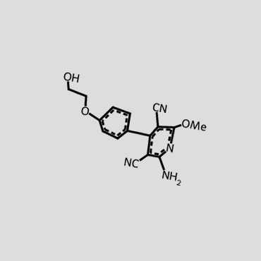 COc1nc(N)c(C#N)c(-c2ccc(OCCO)cc2)c1C#N